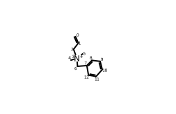 C=CC[N+](C)(C)Cc1ccccc1